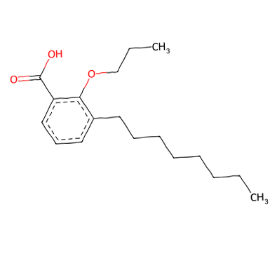 CCCCCCCCc1cccc(C(=O)O)c1OCCC